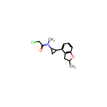 CC1Cc2c(cccc2C2CC2N(C)C(=O)CCl)O1